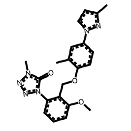 COc1cccc(-n2nnn(C)c2=O)c1COc1ccc(-n2ccc(C)n2)cc1C